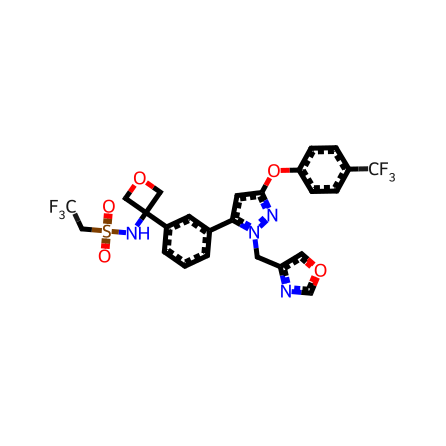 O=S(=O)(CC(F)(F)F)NC1(c2cccc(-c3cc(Oc4ccc(C(F)(F)F)cc4)nn3Cc3cocn3)c2)COC1